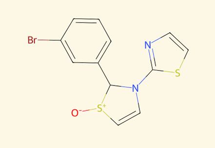 [O-][S+]1C=CN(c2nccs2)C1c1cccc(Br)c1